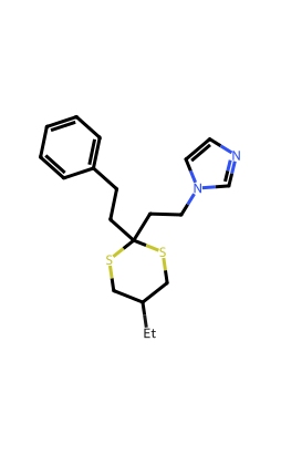 CCC1CSC(CCc2ccccc2)(CCn2ccnc2)SC1